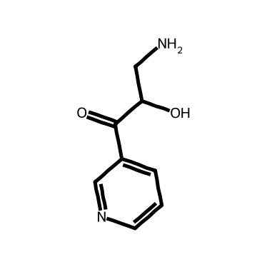 NCC(O)C(=O)c1cccnc1